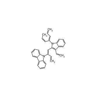 C=C/C=C(\C=C/C)n1c(/C=C(\C=C)n2c3ccccc3c3ccccc32)c(C=C)c2ccccc21